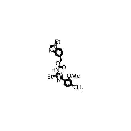 CCc1nc(-c2ccc(C)cc2OC)sc1NC(=O)OCc1ccc2c(c1)ncn2CC